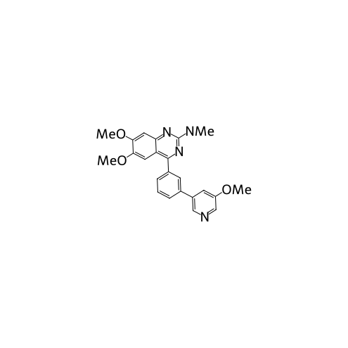 CNc1nc(-c2cccc(-c3cncc(OC)c3)c2)c2cc(OC)c(OC)cc2n1